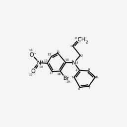 C=CCN(c1ccccc1)c1ccc([N+](=O)[O-])cc1Br